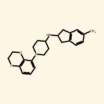 Cc1ccc2c(c1)CC(NC1CCN(c3cccc4c3OCCO4)CC1)C2